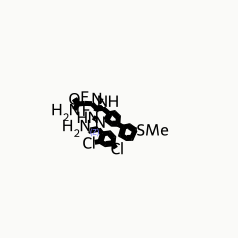 CSc1cccc(-c2ccc3c(c2)N(/C(=C\N)c2ccc(Cl)cc2Cl)Nc2c(C(F)(F)C(N)=O)n[nH]c2-3)c1